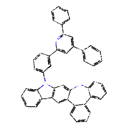 c1ccc(-c2cc(-c3ccccc3)nc(-c3cccc(-n4c5ccccc5c5cc6c(cc54)Nc4ccccc4-c4ccccc4-6)c3)c2)cc1